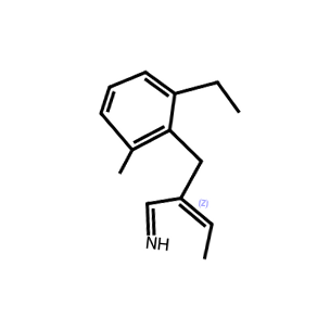 C/C=C(\C=N)Cc1c(C)cccc1CC